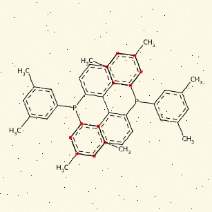 Cc1cc(C)cc(P(c2cc(C)cc(C)c2)c2ccc3c(c2-c2c(P(c4cc(C)cc(C)c4)c4cc(C)cc(C)c4)ccc4c2CCCC4)CCCC3)c1